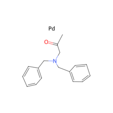 CC(=O)CN(Cc1ccccc1)Cc1ccccc1.[Pd]